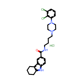 Cl.O=C(NCCCCN1CCN(c2cccc(Cl)c2Cl)CC1)c1ccc2[nH]c3c(c2c1)CCCC3